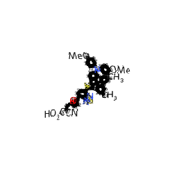 COc1ccc(N(c2ccc(OC)cc2)c2ccc3c(c2)C(c2ccc(C)cc2)(c2ccc(C)cc2)c2cc(-c4ccc(-c5ccc(/C=C(\C#N)C(=O)O)o5)c5nsnc45)sc2-3)cc1